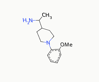 COc1ccccc1N1CCC(C(C)N)CC1